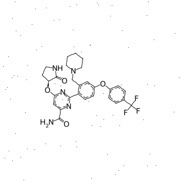 NC(=O)c1cc(O[C@H]2CCNC2=O)nc(-c2ccc(Oc3ccc(C(F)(F)F)cc3)cc2CN2CCCCC2)n1